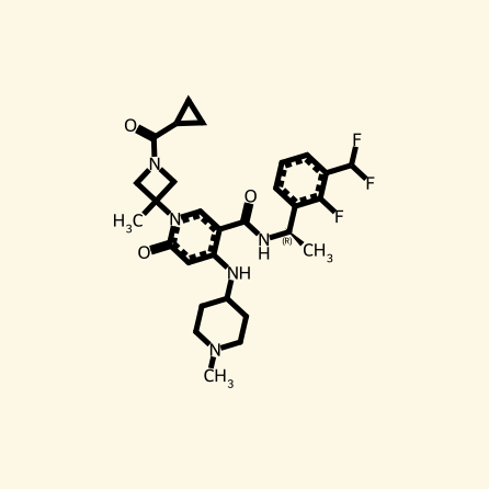 C[C@@H](NC(=O)c1cn(C2(C)CN(C(=O)C3CC3)C2)c(=O)cc1NC1CCN(C)CC1)c1cccc(C(F)F)c1F